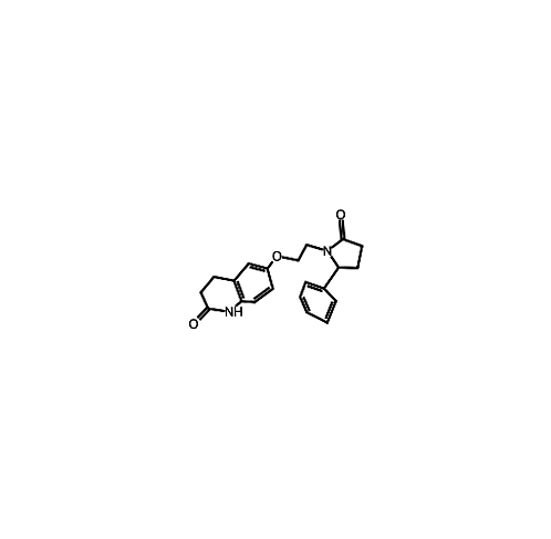 O=C1CCc2cc(OCCN3C(=O)CCC3c3ccccc3)ccc2N1